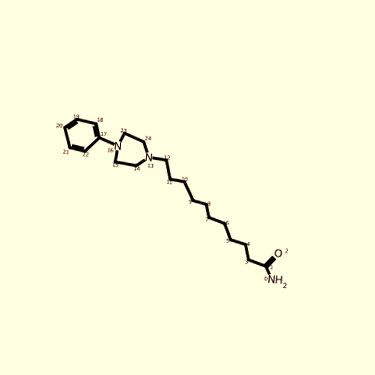 NC(=O)CCCCCCCCCCN1CCN(c2ccccc2)CC1